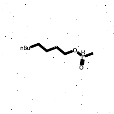 CCCCCCCCO[PH](C)=O